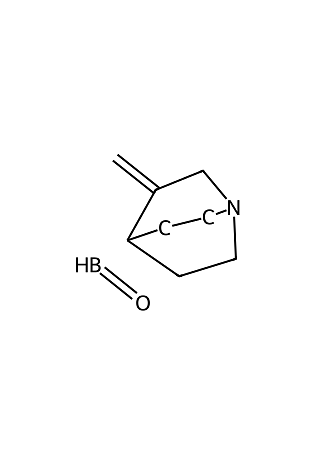 B=O.C=C1CN2CCC1CC2